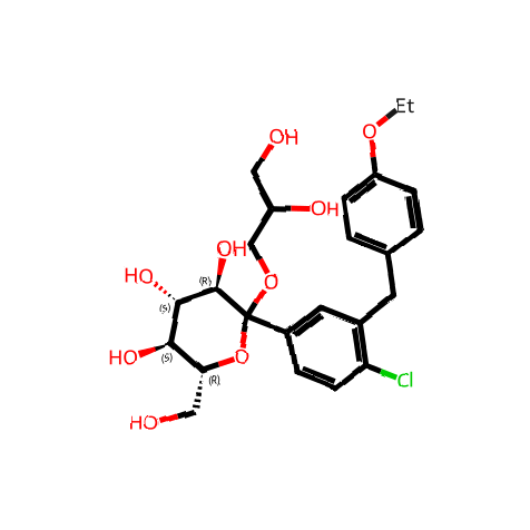 CCOc1ccc(Cc2cc(C3(OCC(O)CO)O[C@H](CO)[C@@H](O)[C@H](O)[C@H]3O)ccc2Cl)cc1